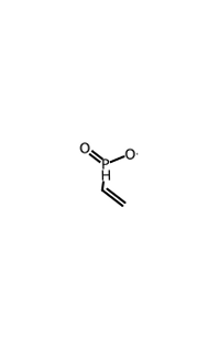 C=C[PH]([O])=O